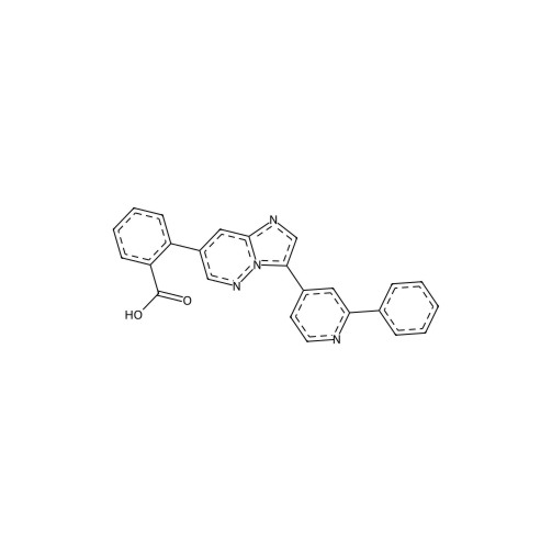 O=C(O)c1ccccc1-c1cnn2c(-c3ccnc(-c4ccccc4)c3)cnc2c1